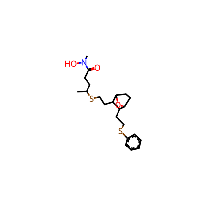 CC(CCC(=O)N(C)O)SCCC1C2CCC(O2)C1CCSc1ccccc1